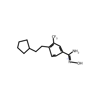 N/C(=N\O)c1ccc(CCC2CCCC2)c(C(F)(F)F)c1